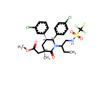 CCC(CNS(=O)(=O)C(F)(F)F)N1C(=O)[C@@](C)(CC(=O)OC)C[C@H](c2cccc(Cl)c2)[C@H]1c1ccc(Cl)cc1